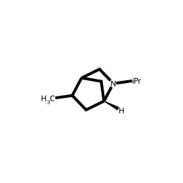 CC1C[C@@H]2CC1CN2C(C)C